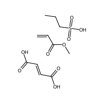 C=CC(=O)OC.CCCS(=O)(=O)O.O=C(O)/C=C/C(=O)O